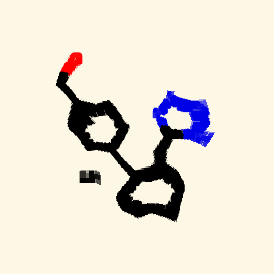 O=Cc1ccc(-c2ccccc2-c2nnn[nH]2)cc1.[LiH]